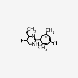 C=CC1N=C(C2C[C@@H](C)C=C(Cl)C=C2C)NCC1F